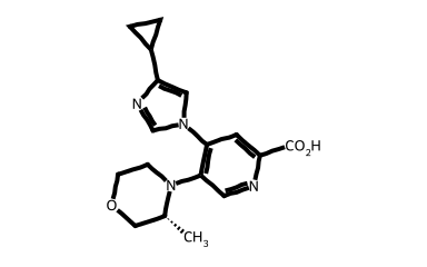 C[C@@H]1COCCN1c1cnc(C(=O)O)cc1-n1cnc(C2CC2)c1